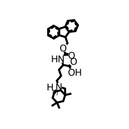 CC1(C)C[C@@H]2CC(C)(CN2CCCC(NC(=O)OCC2c3ccccc3-c3ccccc32)C(=O)O)C1